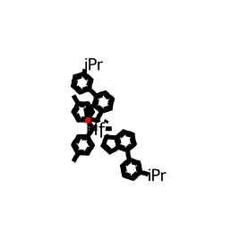 Cc1ccc([C](c2ccc(C)cc2)=[Hf]([CH3])([CH3])([CH]2C=Cc3c(-c4cccc(C(C)C)c4)cccc32)[CH]2C=Cc3c(-c4cccc(C(C)C)c4)cccc32)cc1